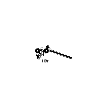 Br.CCCCCCCCCCCCCCOc1ccc(NC(=O)c2ccccc2CN2CSC=C2C)cc1C(C)(C)C